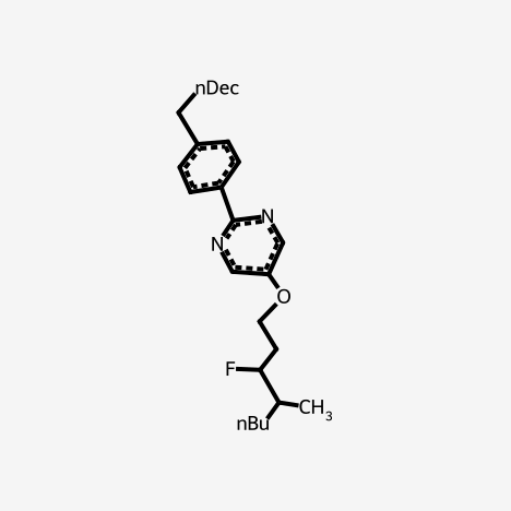 CCCCCCCCCCCc1ccc(-c2ncc(OCCC(F)C(C)CCCC)cn2)cc1